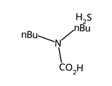 CCCCN(CCCC)C(=O)O.S